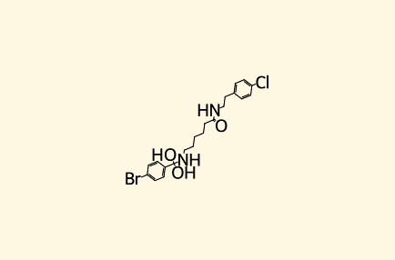 O=C(CCCCCNC(O)(O)c1ccc(Br)cc1)NCCc1ccc(Cl)cc1